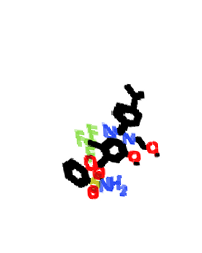 COCCn1c(-c2ccc(C(C)C)cc2)nc2c(C(F)(F)F)c(COc3ccccc3S(N)(=O)=O)cc(OC)c21